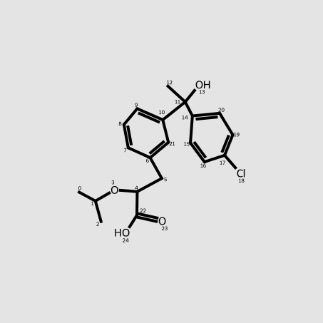 CC(C)OC(Cc1cccc(C(C)(O)c2ccc(Cl)cc2)c1)C(=O)O